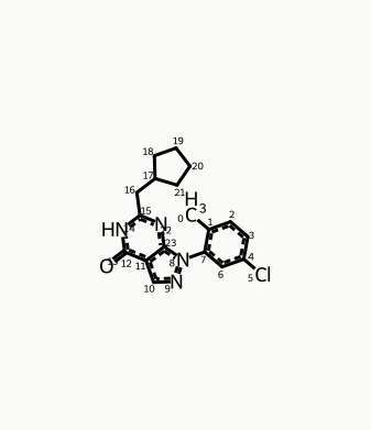 Cc1ccc(Cl)cc1-n1ncc2c(=O)[nH]c(CC3CCCC3)nc21